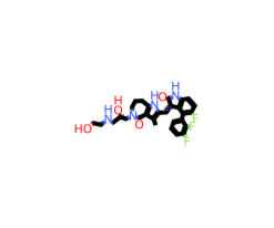 Cc1c(/C=C2\C(=O)Nc3ccc(F)c(-c4cccc(F)c4F)c32)[nH]c2c1C(=O)N(C[C@H](O)CNCCO)CCC2